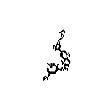 CC(C)c1cnnc(Nc2ccc3ncc(-c4cnn(CCN5CCC5)c4)cc3n2)c1